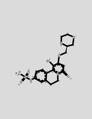 CCc1c(OC[C@@H]2COCCO2)cc(=O)n2c1-c1ccc(OS(=O)(=O)C(F)(F)F)cc1CC2